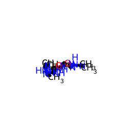 Cc1cnc(Nc2cc(C)n(C)n2)nc1-c1c[nH]c2c(NC(=O)CN3CC[C@H](Oc4ccnc(NCCCN(C)C)n4)C3)cccc12